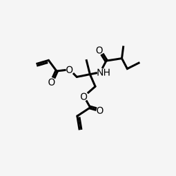 C=CC(=O)OCC(C)(COC(=O)C=C)NC(=O)C(C)CC